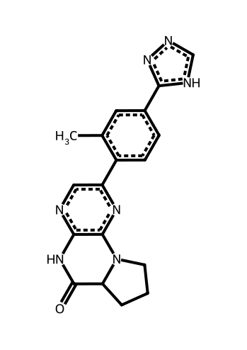 Cc1cc(-c2nnc[nH]2)ccc1-c1cnc2c(n1)N1CCCC1C(=O)N2